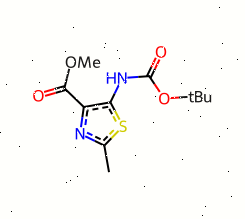 COC(=O)c1nc(C)sc1NC(=O)OC(C)(C)C